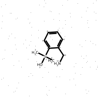 C[Si](C)(O)c1ccccc1CN